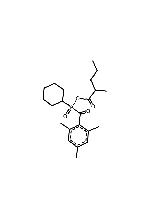 CCCC(C)C(=O)OP(=O)(C(=O)c1c(C)cc(C)cc1C)C1CCCCC1